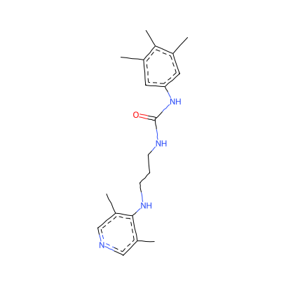 Cc1cc(NC(=O)NCCCNc2c(C)cncc2C)cc(C)c1C